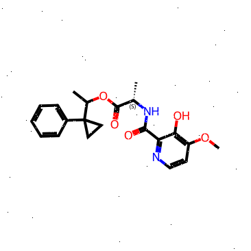 COc1ccnc(C(=O)N[C@@H](C)C(=O)OC(C)C2(c3ccccc3)CC2)c1O